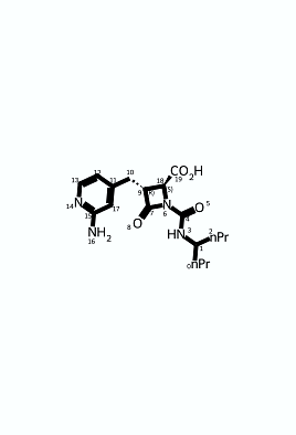 CCCC(CCC)NC(=O)N1C(=O)[C@H](Cc2ccnc(N)c2)[C@H]1C(=O)O